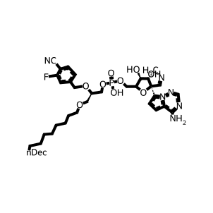 CCCCCCCCCCCCCCCCCCOC[C@H](COP(=O)(O)OCC1O[C@@](/C=N\C)(c2ccc3c(N)ncnn23)[C@H](O)[C@@H]1O)OCc1ccc(C#N)c(F)c1